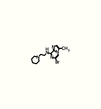 Cc1cnc2c(NCCN3CCCCC3)nc(Br)cn12